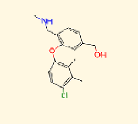 CNCc1ccc(CO)cc1Oc1ccc(Cl)c(C)c1C